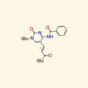 CC(C)(C)C(=O)/C=C/c1cn(C(C)(C)C)c(=O)nc1NC(=O)c1ccccc1